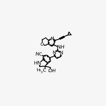 CC1(CO)CNc2c(C#N)cc(-c3ccnc(Nc4cc5c(nc4C#CC4CC4)CCOC5)n3)cc21